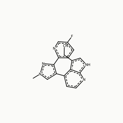 Cn1cc(-c2ccnc3[nH]cc(CC#N)c23)c(-c2ccc(F)cn2)n1